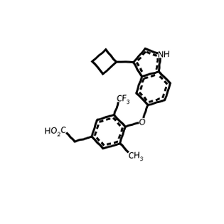 Cc1cc(CC(=O)O)cc(C(F)(F)F)c1Oc1ccc2[nH]cc(C3CCC3)c2c1